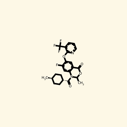 CC1OC(=O)c2cc(Oc3ncccc3C(F)(F)F)c(F)cc2N1C(=O)[C@H]1CC[C@H](C)CC1